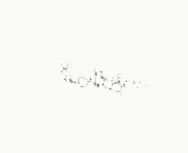 CCc1c(OC)ccc2cc(C(=O)Nc3ccc(CN4CC[C@H](O)C4)cc3)c(=O)oc12